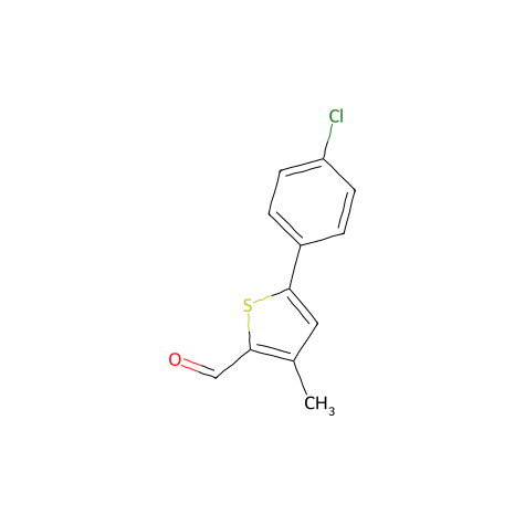 Cc1cc(-c2ccc(Cl)cc2)sc1C=O